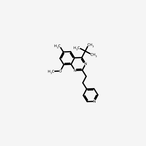 COc1cc(C)cc2c(C(C)(C)C)nc(CCc3ccncc3)nc12